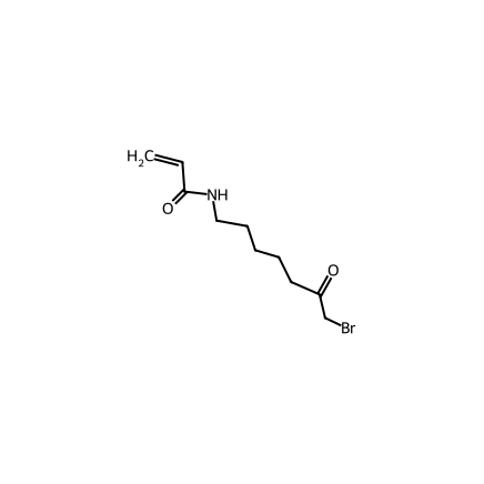 C=CC(=O)NCCCCCC(=O)CBr